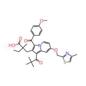 CCC(C)(Cc1c(C(=O)C(C)(C)C)c2cc(OCc3nc(C)cs3)ccn2c1C(=O)c1ccc(OC)cc1)C(=O)O